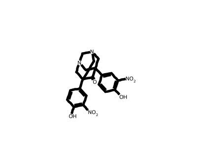 O=C1C2(c3ccc(O)c([N+](=O)[O-])c3)CN3CN(C2)CC1(c1ccc(O)c([N+](=O)[O-])c1)C3